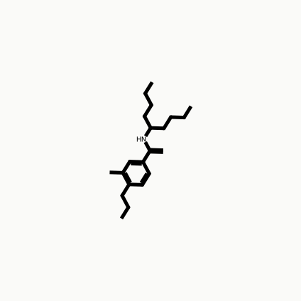 C=C(NC(CCCC)CCCC)c1ccc(CCC)c(C)c1